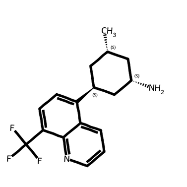 C[C@@H]1C[C@H](N)C[C@@H](c2ccc(C(F)(F)F)c3ncccc23)C1